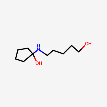 OCCCCCNC1(O)CCCC1